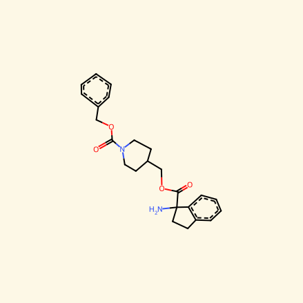 NC1(C(=O)OCC2CCN(C(=O)OCc3ccccc3)CC2)CCc2ccccc21